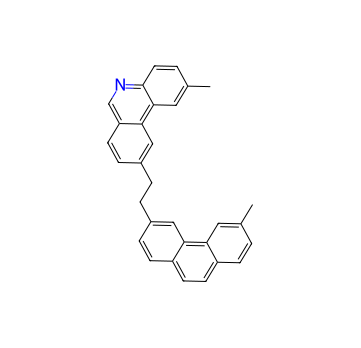 Cc1ccc2ccc3ccc(CCc4ccc5cnc6ccc(C)cc6c5c4)cc3c2c1